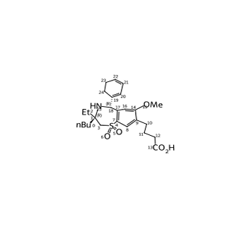 CCCC[C@]1(CC)CS(=O)(=O)c2cc(CCCC(=O)O)c(OC)cc2[C@@H](C2=CC=CCC2)N1